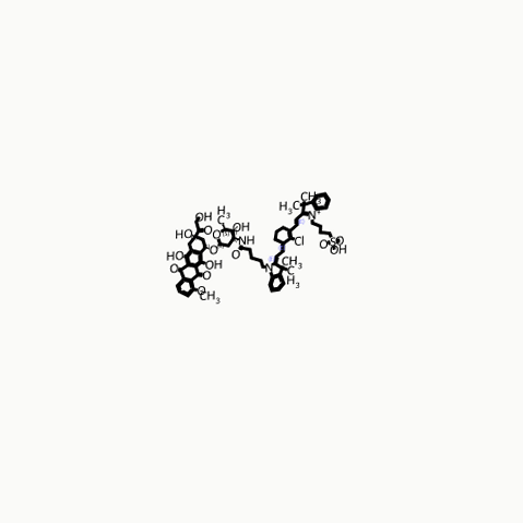 COc1cccc2c1C(=O)c1c(O)c3c(c(O)c1C2=O)C[C@@](O)(C(=O)CO)C[C@@H]3O[C@H]1C[C@H](NC(=O)CCCCN2/C(=C/C=C3\CCCC(/C=C/C4=[N+](CCCCS(=O)(=O)O)c5ccccc5C4(C)C)=C3Cl)C(C)(C)c3ccccc32)[C@@H](O)[C@H](C)O1